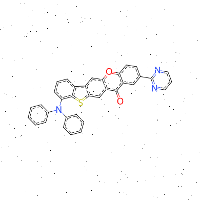 O=c1c2cc(-c3ncccn3)ccc2oc2cc3c(cc12)sc1c(N(c2ccccc2)c2ccccc2)cccc13